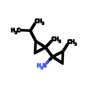 CC(C)C1CC1(C)C1(N)CC1C